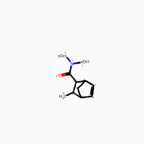 CCCCCCCCN(CCCCCCCC)C(=O)C1C2C=CC(C2)C1C